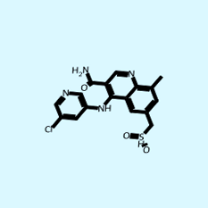 Cc1cc(C[SH](=O)=O)cc2c(Nc3cncc(Cl)c3)c(C(N)=O)cnc12